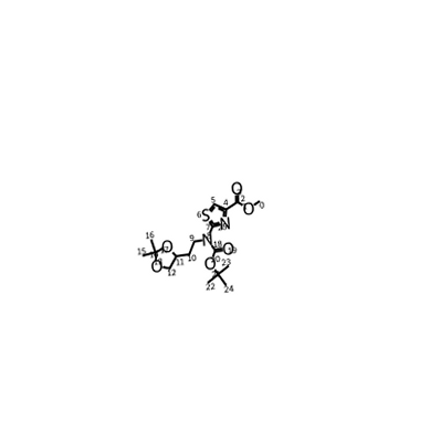 COC(=O)c1csc(N(CCC2COC(C)(C)O2)C(=O)OC(C)(C)C)n1